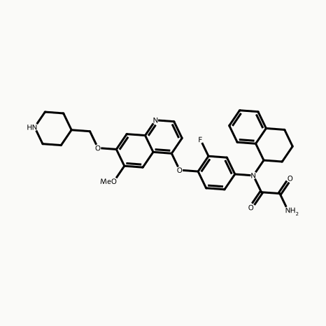 COc1cc2c(Oc3ccc(N(C(=O)C(N)=O)C4CCCc5ccccc54)cc3F)ccnc2cc1OCC1CCNCC1